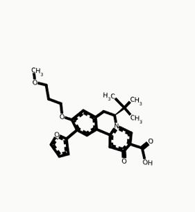 COCCCOc1cc2c(cc1-c1ccco1)-c1cc(=O)c(C(=O)O)cn1[C@H](C(C)(C)C)C2